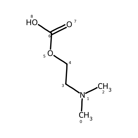 CN(C)CCOC(=O)O